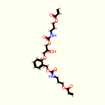 C=CC(=O)OCCCNC(=O)OCc1ccccc1OCC(O)COC(=O)NCCCOC(=O)C=C